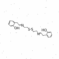 Oc1ccccc1CC=NCCSSCCN=CCc1ccccc1O